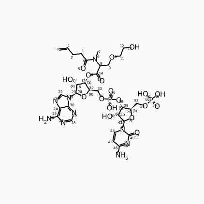 C=CCCC(=O)N(C)C(COCCO)C(=O)O[C@H]1[C@@H](O)[C@H](n2cnc3c(N)ncnc32)O[C@@H]1COP(=O)(O)O[C@H]1[C@@H](O)[C@H](n2ccc(N)nc2=O)O[C@@H]1COP(=O)(O)O